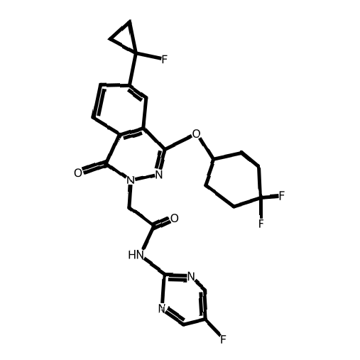 O=C(Cn1nc(OC2CCC(F)(F)CC2)c2cc(C3(F)CC3)ccc2c1=O)Nc1ncc(F)cn1